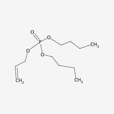 C=CCOP(=O)(OCCCC)OCCCC